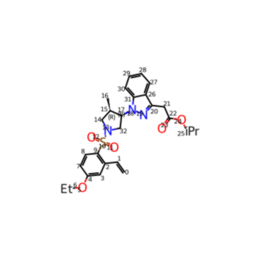 C=Cc1cc(OCC)ccc1S(=O)(=O)N1C[C@@H](C)[C@@H](n2nc(CC(=O)OC(C)C)c3ccccc32)C1